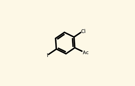 CC(=O)c1cc(I)ccc1Cl